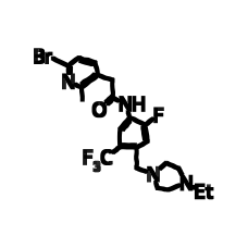 CCN1CCN(Cc2cc(F)c(NC(=O)Cc3ccc(Br)nc3C)cc2C(F)(F)F)CC1